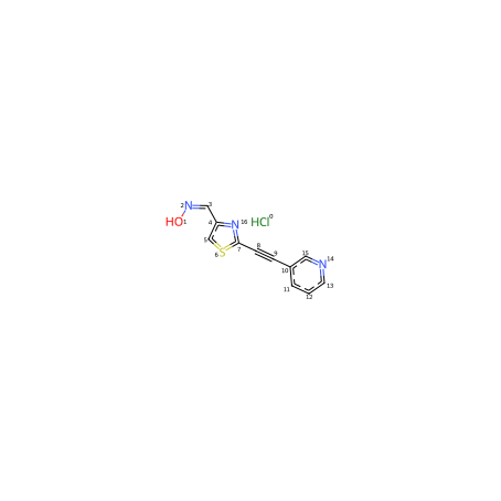 Cl.O/N=C\c1csc(C#Cc2cccnc2)n1